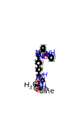 COC(=O)N[C@H](C(=O)N1CCC[C@H]1c1ncc(-c2ccc(-c3ccc(-c4cnc([C@H]5C6CCC(C6)[C@@H]5C(=O)Nc5ccccc5)[nH]4)cc3)cc2)[nH]1)[C@@H](C)OC